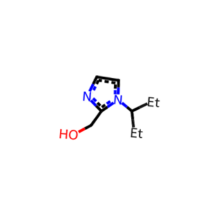 CCC(CC)n1ccnc1CO